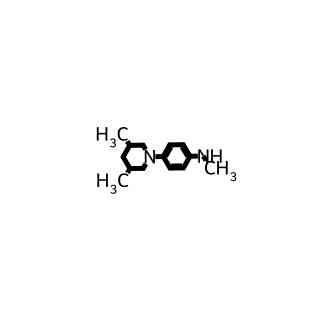 CNc1ccc(N2CC(C)CC(C)C2)cc1